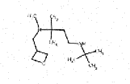 CN(CC1COC1)C(C)(C)CCNC(C)(C)C